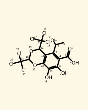 CC(O)c1c(C(=O)O)c(O)c(O)c2c1C(C(Cl)(Cl)Cl)OC(C(Cl)(Cl)Cl)O2